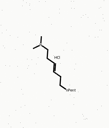 CCCCCCCC=CCCN(C)C.Cl